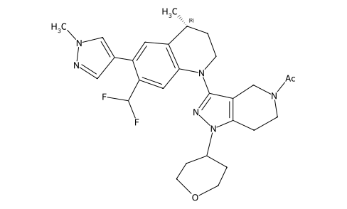 CC(=O)N1CCc2c(c(N3CC[C@@H](C)c4cc(-c5cnn(C)c5)c(C(F)F)cc43)nn2C2CCOCC2)C1